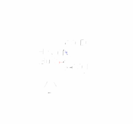 CCOC(=O)/C=C/[C@H](O[Si](C)(C)C(C)(C)C)[C@H](CCc1ccccc1)C(=O)O